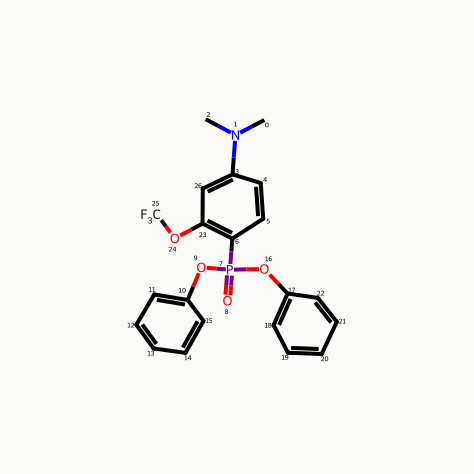 CN(C)c1ccc(P(=O)(Oc2ccccc2)Oc2ccccc2)c(OC(F)(F)F)c1